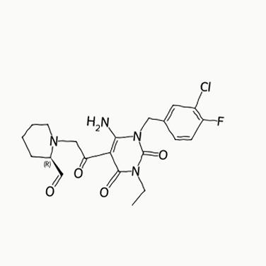 CCn1c(=O)c(C(=O)CN2CCCC[C@@H]2C=O)c(N)n(Cc2ccc(F)c(Cl)c2)c1=O